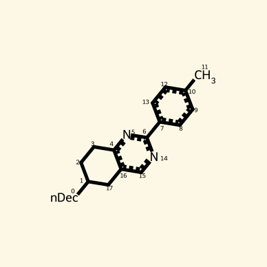 CCCCCCCCCCC1CCc2nc(-c3ccc(C)cc3)ncc2C1